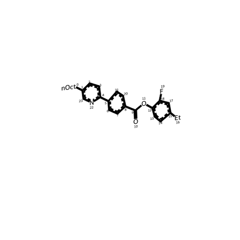 CCCCCCCCc1ccc(-c2ccc(C(=O)Oc3ccc(CC)cc3F)cc2)nc1